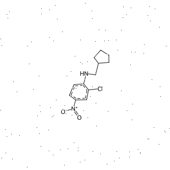 O=[N+]([O-])c1ccc(NCC2CCCC2)c(Cl)c1